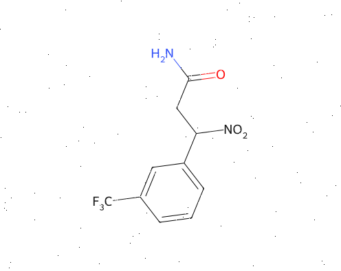 NC(=O)CC(c1cccc(C(F)(F)F)c1)[N+](=O)[O-]